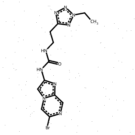 CCn1nnc(CCNC(=O)Nc2cn3cc(Br)ncc3n2)n1